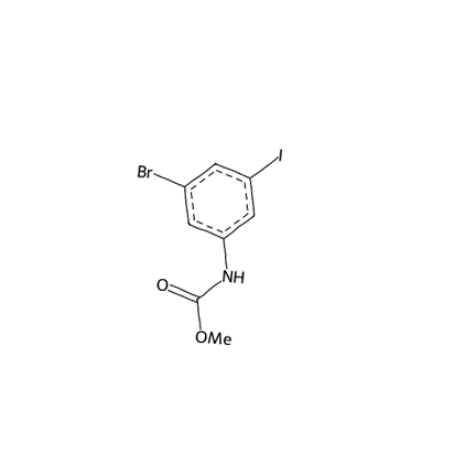 COC(=O)Nc1cc(Br)cc(I)c1